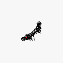 O=C(CC(=O)NCCN1C(=O)c2cccc3c(N4CCOCC4)ccc(c23)C1=O)NCCN1C(=O)c2cccc3c(N4CCOCC4)ccc(c23)C1=O